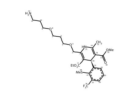 CCOC(=O)C1=C(COCCCOCCCN)NC(C)=C(C(=O)OC)[C@H]1c1cccc(C(F)(F)F)c1SC